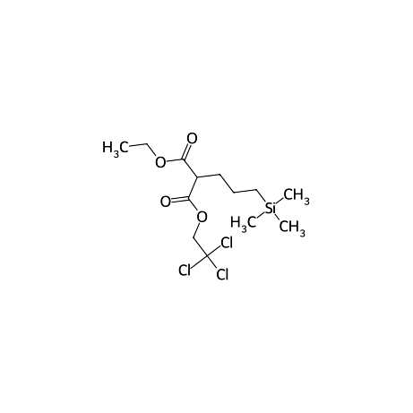 CCOC(=O)C(CCC[Si](C)(C)C)C(=O)OCC(Cl)(Cl)Cl